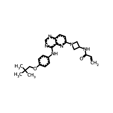 C=CC(=O)NC1CN(c2ccc3ncnc(Nc4ccc(OCC(C)(C)C)cc4)c3n2)C1